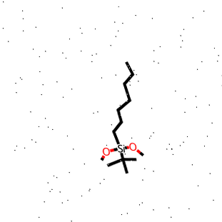 CCCCCCC[Si](OC)(OC)C(C)(C)C